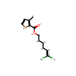 Cc1ccsc1C(=O)OCCCCC=C(F)F